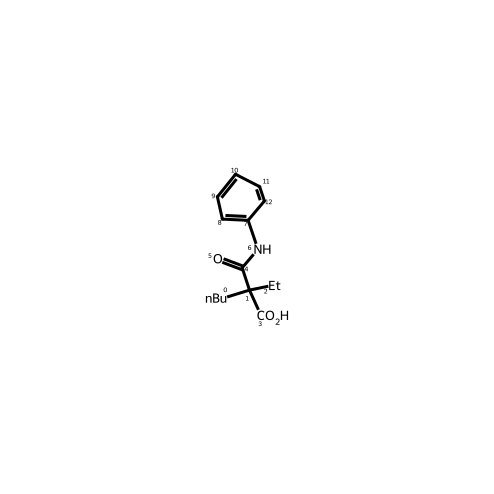 CCCCC(CC)(C(=O)O)C(=O)Nc1ccccc1